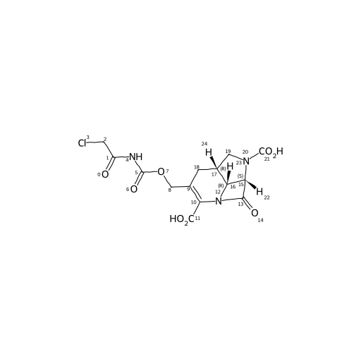 O=C(CCl)NC(=O)OCC1=C(C(=O)O)N2C(=O)[C@@H]3[C@H]2[C@H](C1)CN3C(=O)O